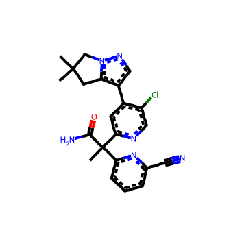 CC1(C)Cc2c(-c3cc(C(C)(C(N)=O)c4cccc(C#N)n4)ncc3Cl)cnn2C1